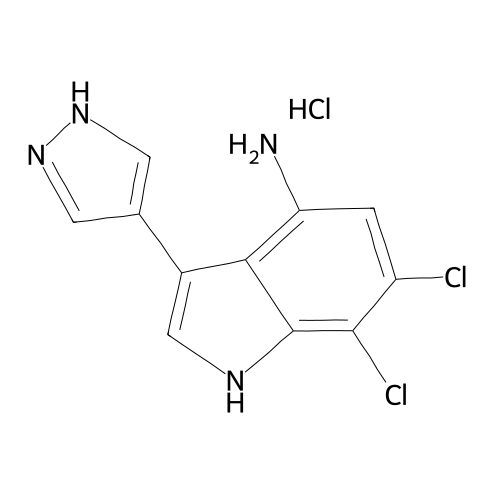 Cl.Nc1cc(Cl)c(Cl)c2[nH]cc(-c3cn[nH]c3)c12